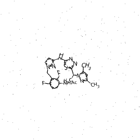 CC(=O)Nc1ccc(F)c(Cn2ccc(Nc3nnc(C(C)n4nc(C)cc4C)s3)n2)c1F